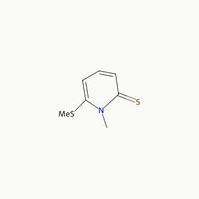 CSc1cccc(=S)n1C